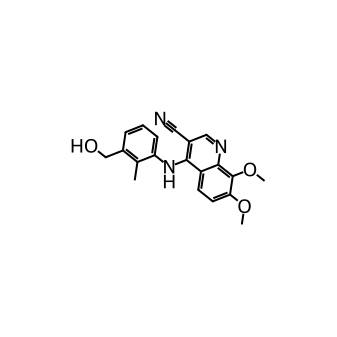 COc1ccc2c(Nc3cccc(CO)c3C)c(C#N)cnc2c1OC